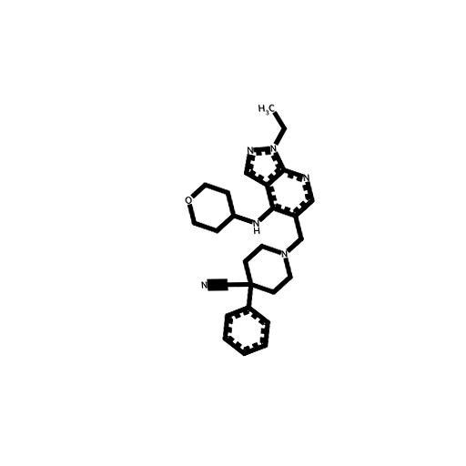 CCn1ncc2c(NC3CCOCC3)c(CN3CCC(C#N)(c4ccccc4)CC3)cnc21